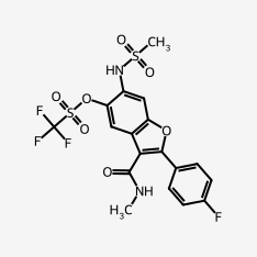 CNC(=O)c1c(-c2ccc(F)cc2)oc2cc(NS(C)(=O)=O)c(OS(=O)(=O)C(F)(F)F)cc12